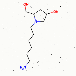 NCCCCCCN1CC(O)CC1CO